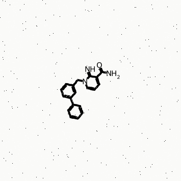 N=c1c(C(N)=O)cccn1Cc1cccc(-c2ccccc2)c1